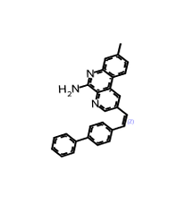 Cc1ccc2c(c1)nc(N)c1ncc(/C=C\c3ccc(-c4ccccc4)cc3)cc12